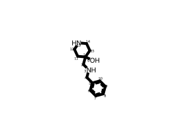 OC1(CNCc2ccccc2)CCNCC1